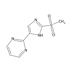 CS(=O)(=O)c1n[c]c(-c2ncccn2)[nH]1